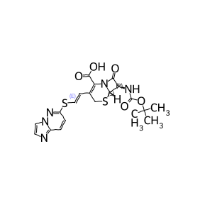 CC(C)(C)OC(=O)N[C@@H]1C(=O)N2C(C(=O)O)=C(/C=C/Sc3ccc4nccn4n3)CS[C@@H]12